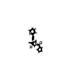 O=C(C1CCCC1)N1C[C@H]2C[C@@]2(C#Cc2ccccn2)C1